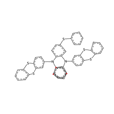 c1ccc(Sc2ccc(N(c3ccccc3)c3ccc4c(c3)Sc3ccccc3S4)c(N(c3ccccc3)c3ccc4c(c3)Sc3ccccc3S4)c2)cc1